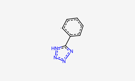 [c]1ccccc1-c1nnn[nH]1